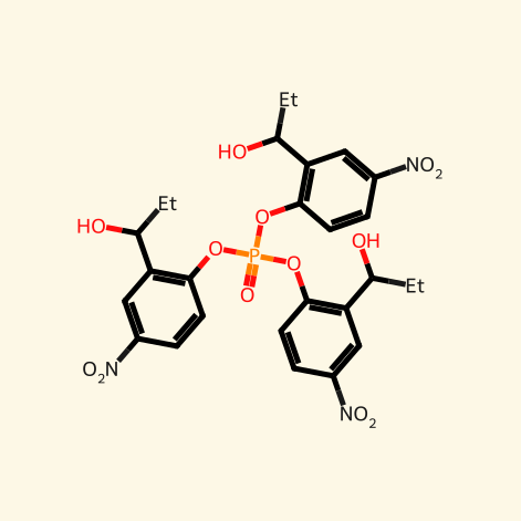 CCC(O)c1cc([N+](=O)[O-])ccc1OP(=O)(Oc1ccc([N+](=O)[O-])cc1C(O)CC)Oc1ccc([N+](=O)[O-])cc1C(O)CC